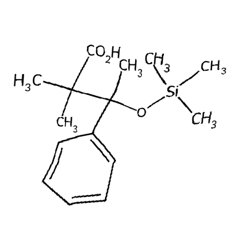 CC(C)(C(=O)O)C(C)(O[Si](C)(C)C)c1ccccc1